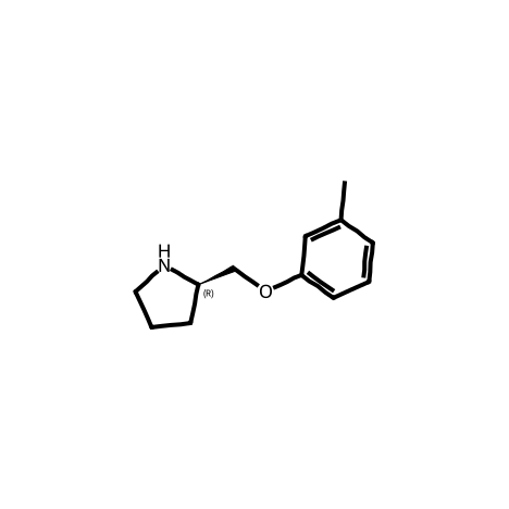 Cc1cccc(OC[C@H]2CCCN2)c1